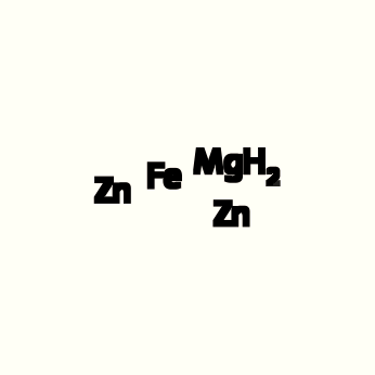 [Fe].[MgH2].[Zn].[Zn]